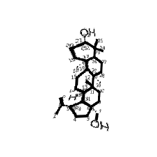 C=C(C)[C@@H]1CC[C@]2(CO)CCC3(C)[C@H](CCC4[C@@]5(C)CC[C@H](O)C(C)(C)C5CC[C@]43C)C12